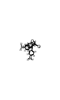 CC1=CC2OC=C3C(=O)CS(c4ccc(N(C)C)cc4)(c4ccc(N(C)C)cc4)C32C=C1